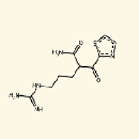 N=C(N)NCCCC(C(N)=O)C(=O)c1nccs1